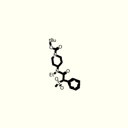 CCN(C(=O)C(c1ccccc1)S(C)(=O)=O)C1CCN(C(=O)OC(C)(C)C)CC1